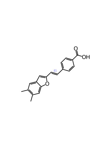 Cc1cc2cc(/C=C/c3ccc(C(=O)O)cc3)oc2cc1C